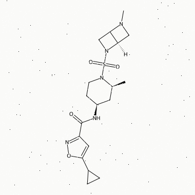 C[C@H]1C[C@@H](NC(=O)c2cc(C3CC3)on2)CCN1S(=O)(=O)N1CC2[C@H]1CN2C